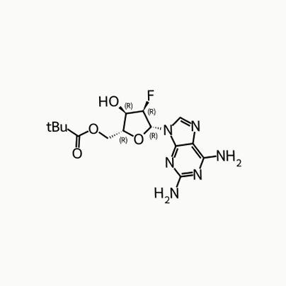 CC(C)(C)C(=O)OC[C@H]1O[C@@H](n2cnc3c(N)nc(N)nc32)[C@H](F)[C@@H]1O